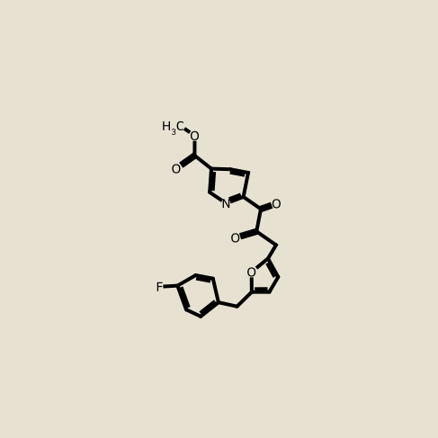 COC(=O)c1ccc(C(=O)C(=O)Cc2ccc(Cc3ccc(F)cc3)o2)nc1